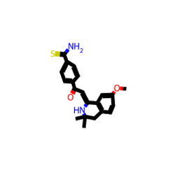 COc1ccc2c(c1)C(=CC(=O)c1ccc(C(N)=S)cc1)NC(C)(C)C2